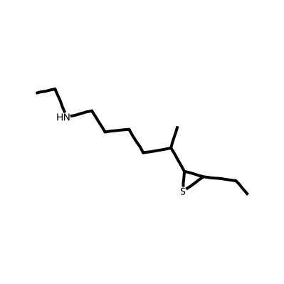 CCNCCCCC(C)C1SC1CC